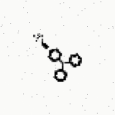 C#[C][Au][CH2]CCC.c1ccc(P(c2ccccc2)c2ccccc2)cc1